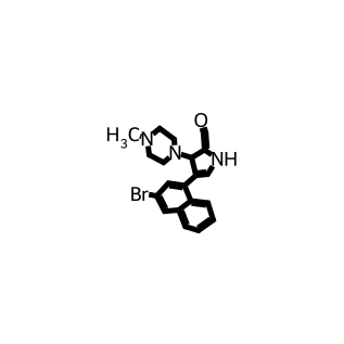 CN1CCN(C2C(=C=O)NC=C2c2cc(Br)cc3ccccc23)CC1